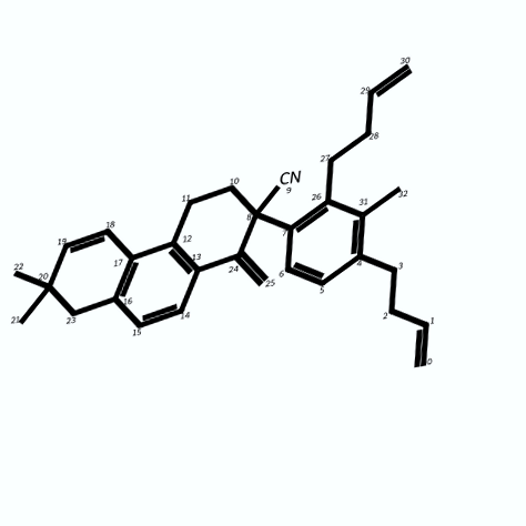 C=CCCc1ccc(C2(C#N)CCc3c(ccc4c3C=CC(C)(C)C4)C2=C)c(CCC=C)c1C